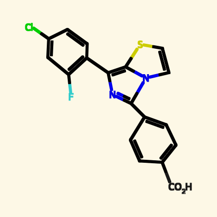 O=C(O)c1ccc(-c2nc(-c3ccc(Cl)cc3F)c3sccn23)cc1